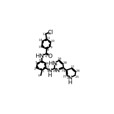 Cc1ccc(NC(=O)c2ccc(CCl)cc2)cc1NC1N=C(C2=CNCC=C2)C=CN1